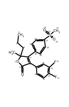 CCCC1(C)OC(=O)C(c2ccc(F)c(F)c2)=C1c1ccc(S(C)(=O)=O)cc1